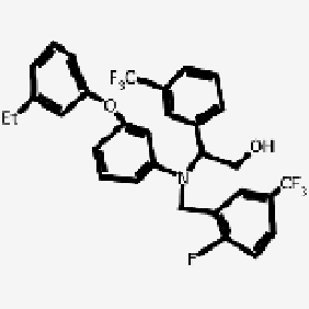 CCc1cccc(Oc2cccc(N(Cc3cc(C(F)(F)F)ccc3F)C(CO)c3cccc(C(F)(F)F)c3)c2)c1